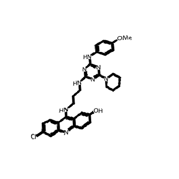 COc1ccc(Nc2nc(NCCCNc3c4ccc(Cl)cc4nc4ccc(O)cc34)nc(N3CCCCC3)n2)cc1